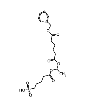 CC(OC(=O)CCCCC(=O)OCc1ccccc1)OC(=O)CCCCS(=O)(=O)O